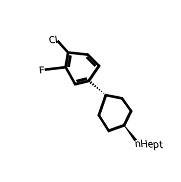 CCCCCCC[C@H]1CC[C@H](c2ccc(Cl)c(F)c2)CC1